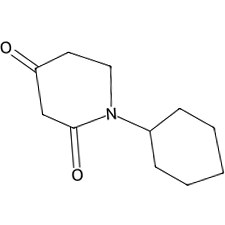 O=C1CCN(C2CCCCC2)C(=O)C1